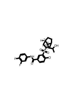 CC(O)C[C@@]1(O)C2CC[C@H]1C[C@H](S(=O)(=O)c1cc(C(=O)Nc3ccc(F)c(F)c3)ccc1Cl)C2